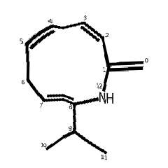 C=C1/C=C\C=C/C/C=C(/C(C)C)N1